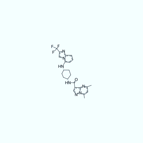 Cc1cc(C)n2ncc(C(=O)N[C@H]3CC[C@@H](Nc4cccc5nc(C(F)(F)F)cn45)CC3)c2n1